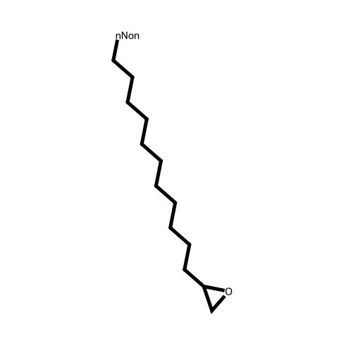 CCCCCCCCCCCCCCCCCCCCC1[CH]O1